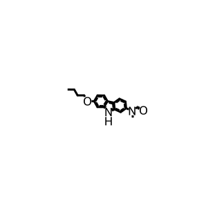 CCCCOc1ccc2c(c1)[nH]c1cc(N(C)C=O)ccc12